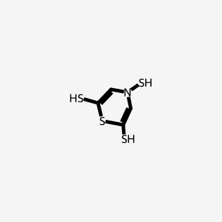 SC1=CN(S)C=C(S)S1